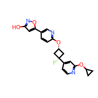 Oc1cc(-c2ccc(O[C@H]3C[C@](F)(c4ccnc(OC5CC5)c4)C3)nc2)on1